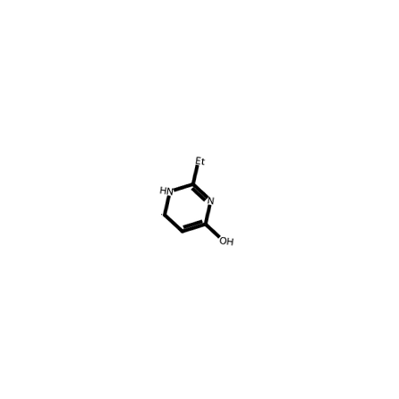 CCC1=NC(O)=C[CH]N1